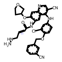 N#Cc1cccc(COc2ccc(Nc3c(C#N)cnc4cc(OC5CCOC5)c(NC(=O)/C=C/CNN)cc34)cc2Cl)c1